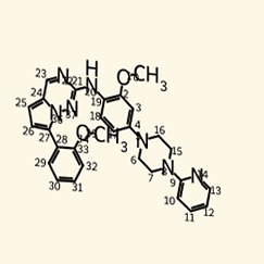 COc1cc(N2CCN(c3ccccn3)CC2)ccc1Nc1ncc2ccc(-c3ccccc3OC)n2n1